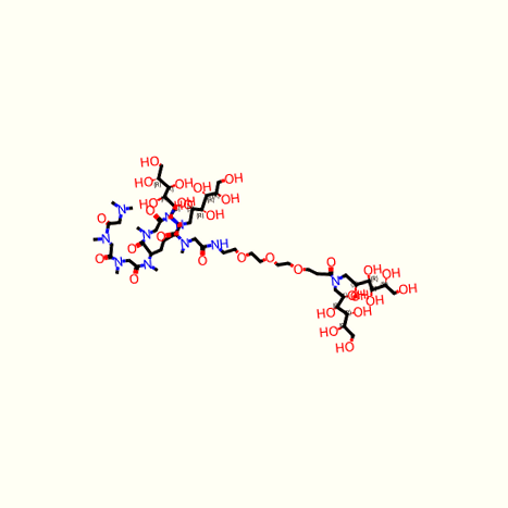 CN(C)CC(=O)N(C)CC(=O)N(C)CC(=O)N(C)C(CCCN(C[C@H](O)[C@@H](O)[C@H](O)[C@H](O)CO)C[C@H](O)[C@@H](O)[C@H](O)[C@H](O)CO)C(=O)N(C)CC(=O)N(C)CC(=O)N(C)CC(=O)NCCOCCOCCOCCC(=O)N(C[C@H](O)[C@@H](O)[C@H](O)[C@H](O)CO)C[C@H](O)[C@@H](O)[C@H](O)[C@H](O)CO